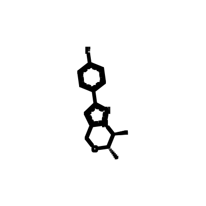 C[C@@H]1OCc2cc(-c3ccc(F)cc3)nn2[C@H]1C